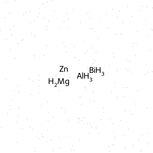 [AlH3].[BiH3].[MgH2].[Zn]